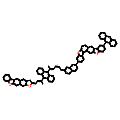 C/C(=C\C=C/Cc1ccc2ccc(-c3ccc4c(c3)oc3ccc5cc6c(cc5c34)oc3ccc(-c4c5ccccc5cc5ccccc45)cc36)cc2c1)c1c2ccccc2c(/C(C)=C/C=C2\Cc3cc4cc5c(cc4cc3O2)oc2ccccc25)c2ccccc12